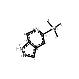 [CH3][Sn]([CH3])([CH3])[c]1cc2cn[nH]c2cn1